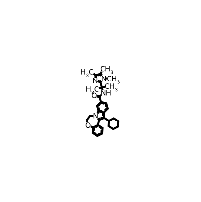 Cc1nc(C(C)(C)NC(=O)c2ccc3c(C4CCCCC4)c4n(c3c2)CCOc2ccccc2-4)n(C)c1C